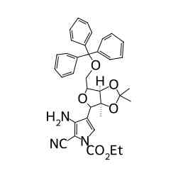 CCOC(=O)n1cc(C2OC(COC(c3ccccc3)(c3ccccc3)c3ccccc3)[C@H]3OC(C)(C)O[C@@]23C)c(N)c1C#N